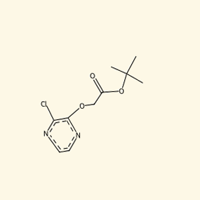 CC(C)(C)OC(=O)COc1nccnc1Cl